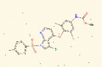 Cc1ccc(S(=O)(=O)n2cc(Br)c3c(Oc4c(F)cc(NC(=O)OC(C)(C)C)cc4F)ccnc32)cc1